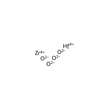 [Hf+4].[O-2].[O-2].[O-2].[O-2].[Zr+4]